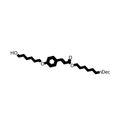 CCCCCCCCCCCCCCCCOC(=O)/C=C/c1ccc(OCCCCCCO)cc1